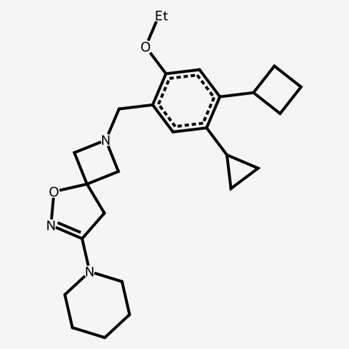 CCOc1cc(C2CCC2)c(C2CC2)cc1CN1CC2(CC(N3CCCCC3)=NO2)C1